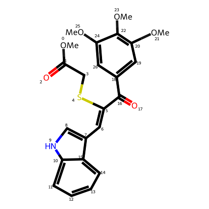 COC(=O)CSC(=Cc1c[nH]c2ccccc12)C(=O)c1cc(OC)c(OC)c(OC)c1